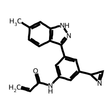 C=CC(=O)Nc1cc(-c2n[nH]c3cc(C)ccc23)cc(C2C=N2)c1